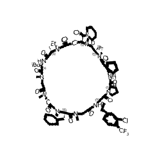 CC[C@H](C)[C@@H]1NC(=O)[C@H](C)N(CC)C(=O)C[C@@H](C(=O)N2CCCCC2)N(C)C(=O)[C@H](C(C)C)N(C)C(=O)C2(CCCC2)NC(=O)[C@@H]2CCCN2C(=O)[C@H](CCc2ccc(C(F)(F)F)c(Cl)c2)NC(=O)CN(C)C(=O)[C@H](CC2CCCCC2)N(C)C(=O)CN(C)C(=O)CN(C)C1=O